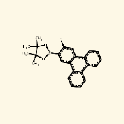 CC1(C)OB(c2cc3c4ccccc4c4ccccc4c3cc2F)OC1(C)C